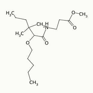 CCCCCOC(C(=O)NCCC(=O)OC)C(C)(C)CCC